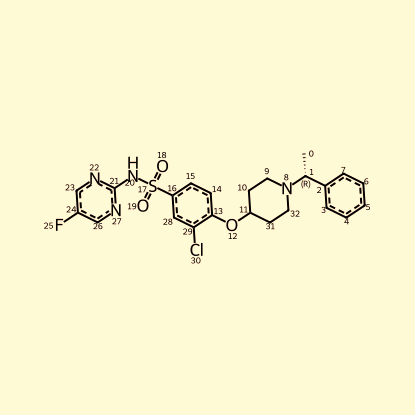 C[C@H](c1ccccc1)N1CCC(Oc2ccc(S(=O)(=O)Nc3ncc(F)cn3)cc2Cl)CC1